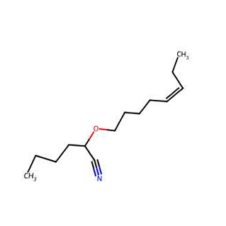 CC/C=C\CCCCOC(C#N)CCCC